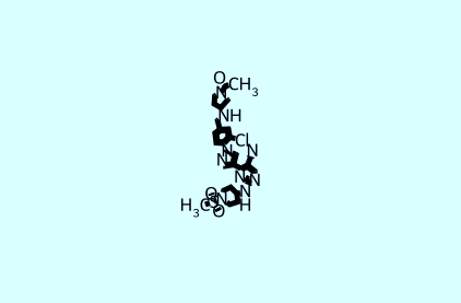 CC(=O)N1CC[C@H](NCc2ccc(-n3cc(-c4nc(NC5CCN(S(C)(=O)=O)CC5)ncc4C#N)cn3)c(Cl)c2)C1